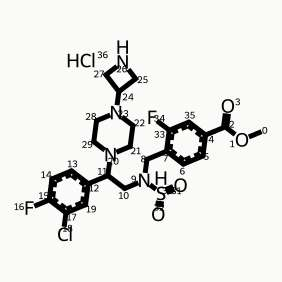 COC(=O)c1ccc(CN(CC(c2ccc(F)c(Cl)c2)N2CCN(C3CNC3)CC2)[SH](=O)=O)c(F)c1.Cl